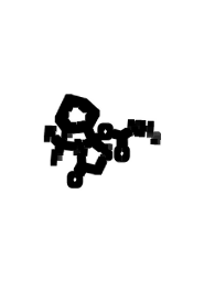 NC(=O)OC1(c2ccccc2)SCC(=O)N1C(F)(F)F